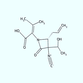 [C-]#[N+]C1(C(C)O)C(=O)N(C(C(=O)O)=C(C)C)[C@@H]1CC=C